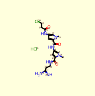 Cl.Cn1cc(NC(=O)c2cc(NC(=O)CCCl)cn2C)cc1C(=O)NCCC(=N)N